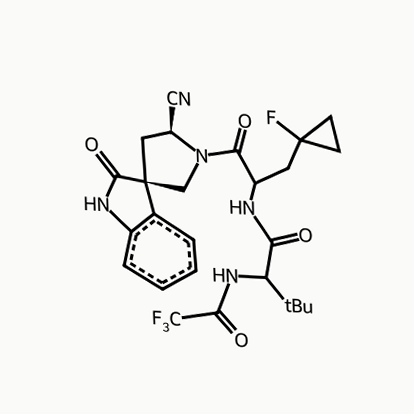 CC(C)(C)C(NC(=O)C(F)(F)F)C(=O)NC(CC1(F)CC1)C(=O)N1C[C@]2(C[C@H]1C#N)C(=O)Nc1ccccc12